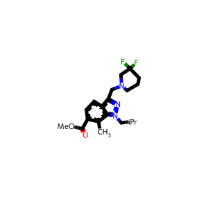 COC(=O)c1ccc2c(CN3CCCC(F)(F)C3)nn(CC(C)C)c2c1C